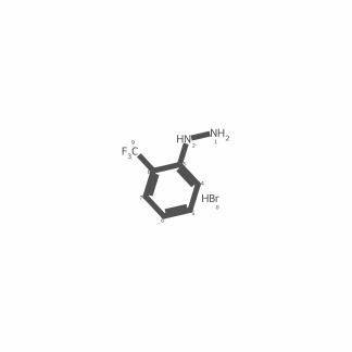 Br.NNc1ccccc1C(F)(F)F